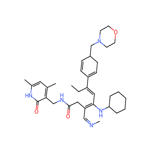 CC\C(=C/C(NC1CCCCC1)=C(/C=N\C)CC(=O)NCc1c(C)cc(C)[nH]c1=O)C1=CCC(CN2CCOCC2)C=C1